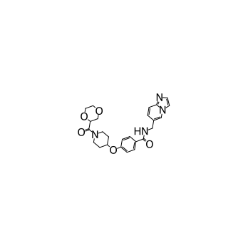 O=C(NCc1ccc2nccn2c1)c1ccc(OC2CCN(C(=O)C3COCCO3)CC2)cc1